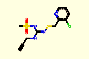 C#CCNC(=NSCc1ncccc1Cl)NS(C)(=O)=O